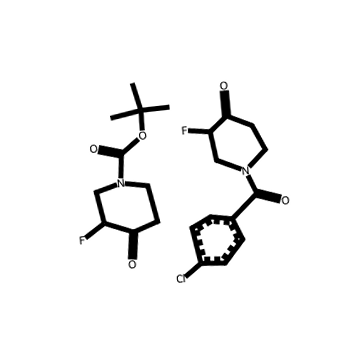 CC(C)(C)OC(=O)N1CCC(=O)C(F)C1.O=C1CCN(C(=O)c2ccc(Cl)cc2)CC1F